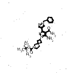 CC(C)(C)OC(=O)N1CC[C@]2(C1)C[C@H](n1nc(-c3cnn(Cc4ccccc4)c3)c(C(N)=O)c1N)C2